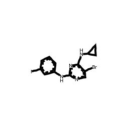 Brc1cnc(Nc2cccc(I)c2)nc1NC1CC1